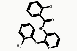 Cc1ccccc1Nc1ncccc1NC(=O)c1ccccc1Cl